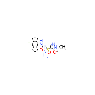 CC1COc2c(S(N)(=O)=NC(=O)Nc3c4c(c(F)c5c3CCC5)CCC4)cnn21